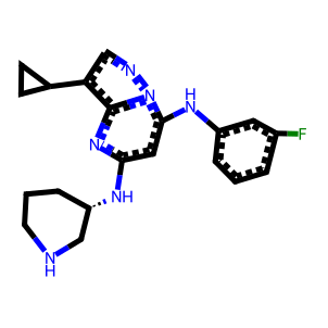 Fc1cccc(Nc2cc(N[C@H]3CCCNC3)nc3c(C4CC4)cnn23)c1